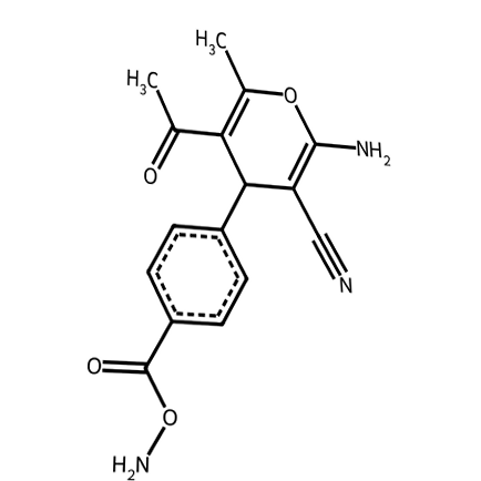 CC(=O)C1=C(C)OC(N)=C(C#N)C1c1ccc(C(=O)ON)cc1